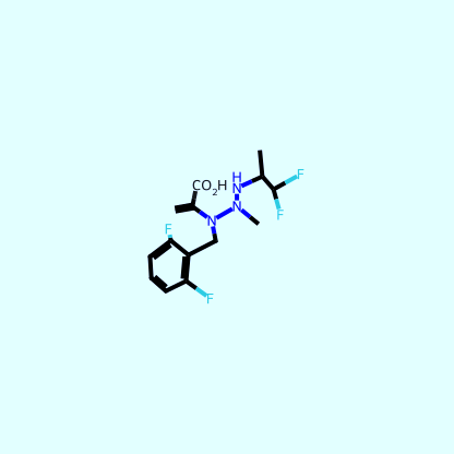 C=C(C(=O)O)N(Cc1c(F)cccc1F)N(C)NC(C)C(F)F